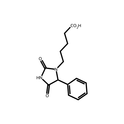 O=C(O)CCCCN1C(=O)NC(=O)C1c1ccccc1